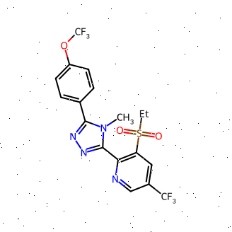 CCS(=O)(=O)c1cc(C(F)(F)F)cnc1-c1nnc(-c2ccc(OC(F)(F)F)cc2)n1C